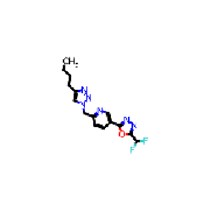 CCCCc1cn(Cc2ccc(-c3nnc(C(F)F)o3)cn2)nn1